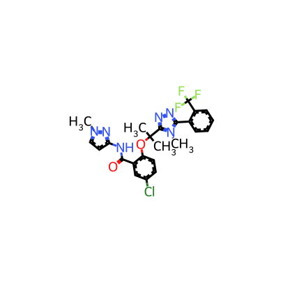 Cn1ccc(NC(=O)c2cc(Cl)ccc2OC(C)(C)c2nnc(-c3ccccc3C(F)(F)F)n2C)n1